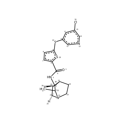 C[C@H]1[C@H](NC(=O)c2ccc(Sc3cncc(Cl)c3)s2)C2CCN1CC2